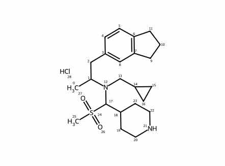 CC(Cc1ccc2c(c1)CCC2)N(CC1CC1)C(C1CCNCC1)S(C)(=O)=O.Cl